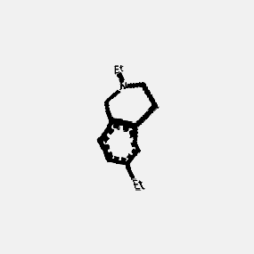 CCc1ccc2c(c1)CCN(CC)C2